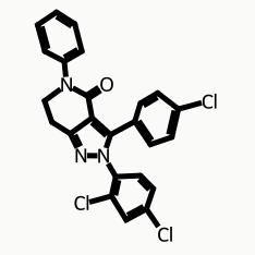 O=C1c2c(nn(-c3ccc(Cl)cc3Cl)c2-c2ccc(Cl)cc2)CCN1c1ccccc1